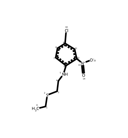 CCSCCNc1ccc(Cl)cc1[N+](=O)[O-]